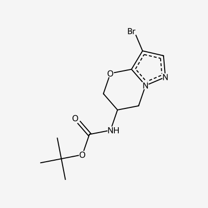 CC(C)(C)OC(=O)NC1COc2c(Br)cnn2C1